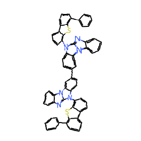 c1ccc(-c2cccc3c2sc2c(-n4c5ccc(-c6ccc7c(c6)n6c8ccccc8nc6n7-c6cccc7c6sc6c(-c8ccccc8)cccc67)cc5n5c6ccccc6nc45)cccc23)cc1